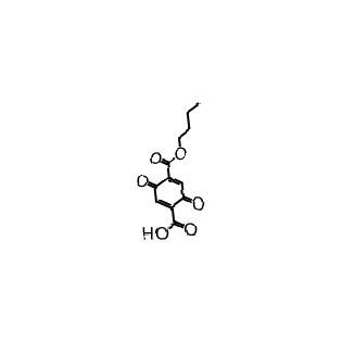 CCCCOC(=O)C1=CC(=O)C(C(=O)O)=CC1=O